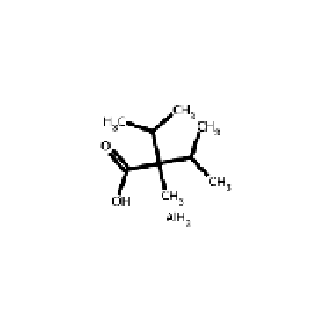 CC(C)C(C)(C(=O)O)C(C)C.[AlH3]